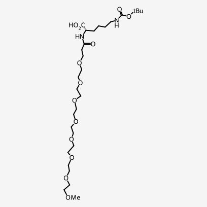 COCCOCCOCCOCCOCCOCCOCCOCCC(=O)N[C@@H](CCCCNC(=O)OC(C)(C)C)C(=O)O